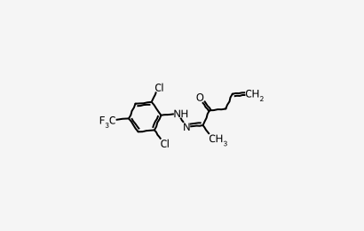 C=CCC(=O)C(C)=NNc1c(Cl)cc(C(F)(F)F)cc1Cl